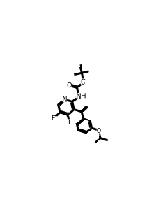 C=C(c1cccc(OC(C)C)c1)c1c(NC(=O)OC(C)(C)C)ncc(F)c1I